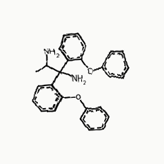 CC(N)C(N)(c1ccccc1Oc1ccccc1)c1ccccc1Oc1ccccc1